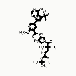 COc1ncc(-c2cc(C(F)(F)F)c3c(N)ncnn23)cc1C(=O)N[C@@H]1CN(C(=O)C(C)(C)CNC(=O)OC(C)(C)C)C[C@@H]1F